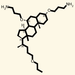 CCCOCCC[C@@H](C)[C@H]1CC[C@H]2C3C(CCC12C)[C@@]1(C)CC[C@@H](OCCCN)CC1C[C@H]3OCCCN